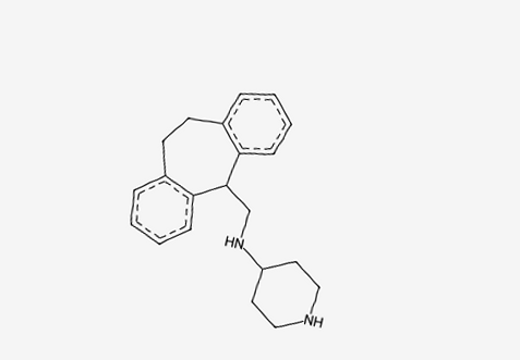 c1ccc2c(c1)CCc1ccccc1C2CNC1CCNCC1